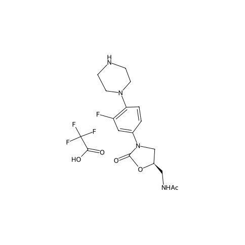 CC(=O)NC[C@@H]1CN(c2ccc(N3CCNCC3)c(F)c2)C(=O)O1.O=C(O)C(F)(F)F